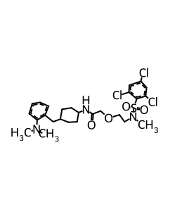 CN(C)c1ccccc1CC1CCC(NC(=O)COCCN(C)S(=O)(=O)c2c(Cl)cc(Cl)cc2Cl)CC1